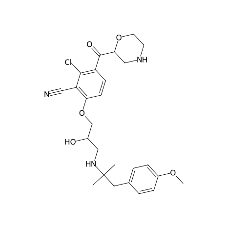 COc1ccc(CC(C)(C)NCC(O)COc2ccc(C(=O)C3CNCCO3)c(Cl)c2C#N)cc1